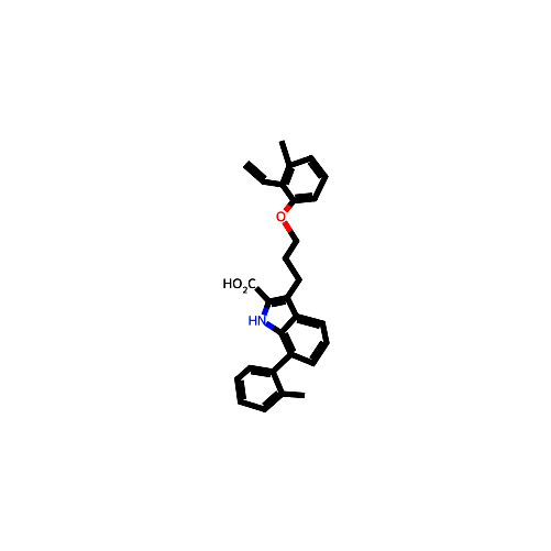 C=Cc1c(C)cccc1OCCCc1c(C(=O)O)[nH]c2c(-c3ccccc3C)cccc12